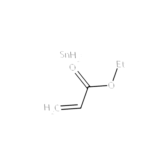 C=CC(=O)OCC.[SnH2]